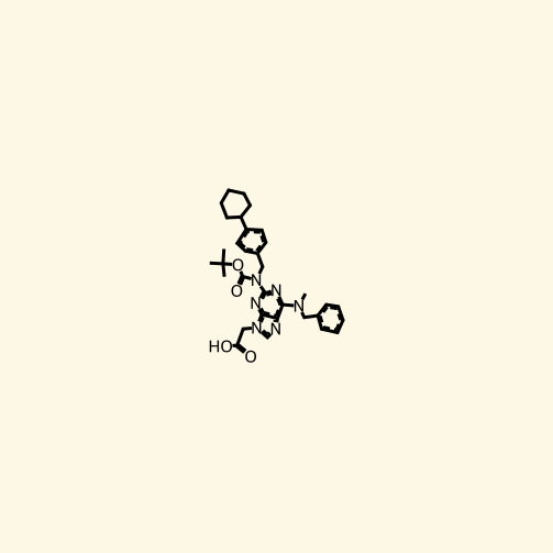 CN(Cc1ccccc1)c1nc(N(Cc2ccc(C3CCCCC3)cc2)C(=O)OC(C)(C)C)nc2c1ncn2CC(=O)O